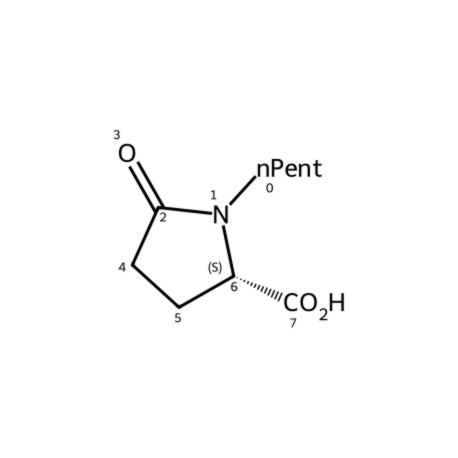 CCCCCN1C(=O)CC[C@H]1C(=O)O